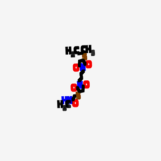 C=CC(C)SC1CC(=O)N(CCCCN2C(=O)CC(SCC(=O)NC)C2=O)C1=O